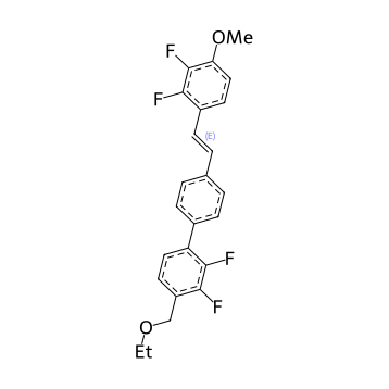 CCOCc1ccc(-c2ccc(/C=C/c3ccc(OC)c(F)c3F)cc2)c(F)c1F